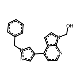 OCn1ccc2c(-c3cnn(Cc4ccccc4)c3)ccnc21